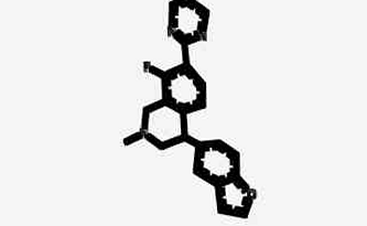 CN1Cc2c(ccc(-c3ncccn3)c2F)C(c2ccc3occc3c2)C1